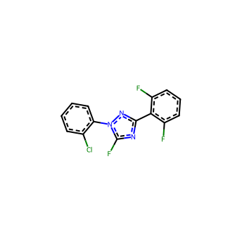 Fc1cccc(F)c1-c1nc(F)n(-c2ccccc2Cl)n1